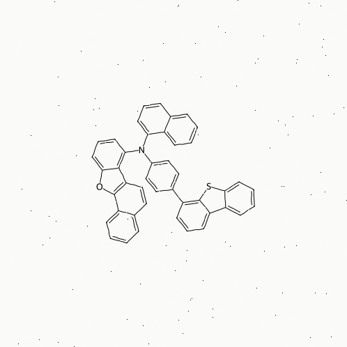 c1ccc2c(N(c3ccc(-c4cccc5c4sc4ccccc45)cc3)c3cccc4oc5c6ccccc6ccc5c34)cccc2c1